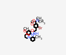 COc1ccc(N(NC(=O)Cc2cc(OC)c(C(=O)N(C)C)cc2Br)c2c(C)cccc2N2CCCCC2)cc1